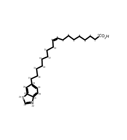 O=C(O)CCCCCCC/C=C\CCCCCCCCc1ccc2ncsc2c1